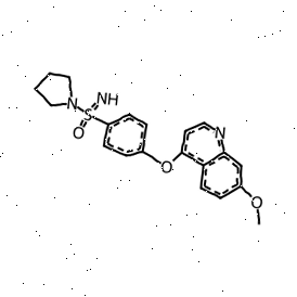 COc1ccc2c(Oc3ccc(S(=N)(=O)N4CCCC4)cc3)ccnc2c1